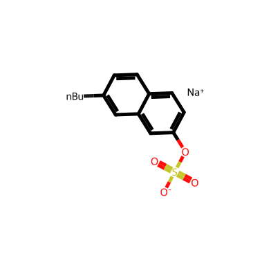 CCCCc1ccc2ccc(OS(=O)(=O)[O-])cc2c1.[Na+]